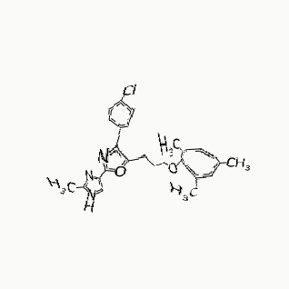 Cc1cc(C)c(OCCCc2oc(-c3c[nH]c(C)n3)nc2-c2ccc(Cl)cc2)c(C)c1